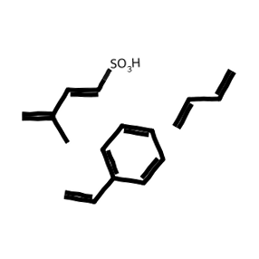 C=C(C)C=CS(=O)(=O)O.C=CC=C.C=Cc1ccccc1